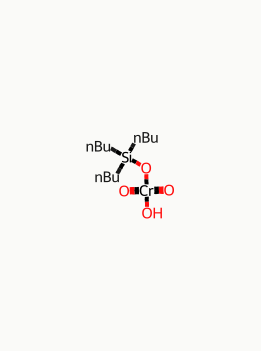 CCCC[Si](CCCC)(CCCC)[O][Cr](=[O])(=[O])[OH]